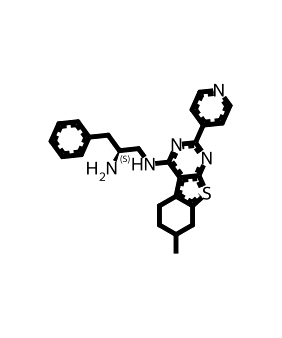 CC1CCc2c(sc3nc(-c4ccncc4)nc(NC[C@@H](N)Cc4ccccc4)c23)C1